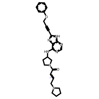 O=C(/C=C/CN1CCCC1)N1CCC(Nc2ncnc3[nH]c(C#CCOc4ccccc4)nc23)C1